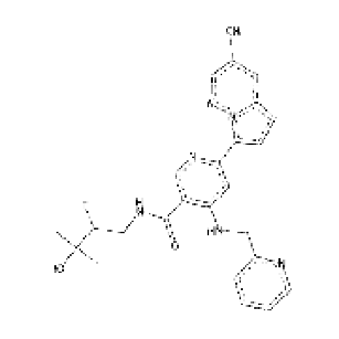 CC(C)(O)C(F)CNC(=O)c1cnc(-c2ccc3cc(C#N)cnn23)cc1NCc1ccccn1